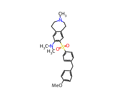 COc1ccc(Cc2ccc(S(=O)(=O)c3cc4c(cc3N(C)C)CCN(C)CC4)cc2)cc1